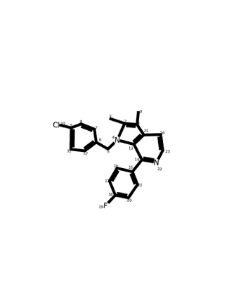 Cc1c(C)n(Cc2ccc(Cl)cc2)c2c(-c3ccc(F)cc3)nccc12